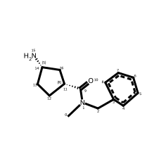 CN(Cc1ccccc1)C(=O)[C@@H]1CC[C@H](N)C1